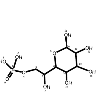 O=P(O)(O)OCC(O)C1O[C@@H](O)C(O)C(O)C1O